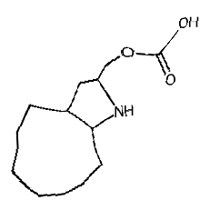 O=C(O)OC1CC2CCCCCCC2N1